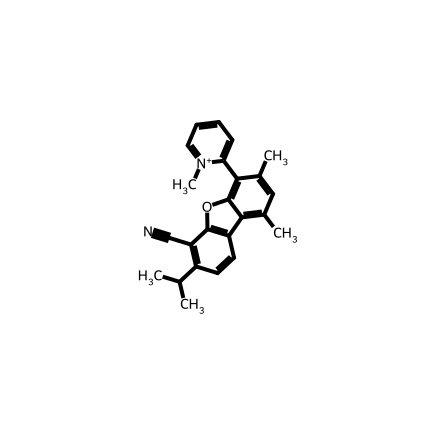 Cc1cc(C)c2c(oc3c(C#N)c(C(C)C)ccc32)c1-c1cccc[n+]1C